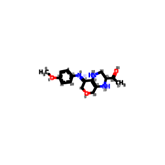 COc1ccc(/N=C2\COCC3=C2NCC(C(C)=O)N3)cc1